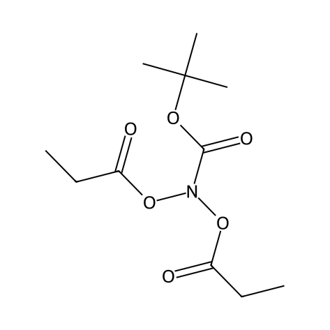 CCC(=O)ON(OC(=O)CC)C(=O)OC(C)(C)C